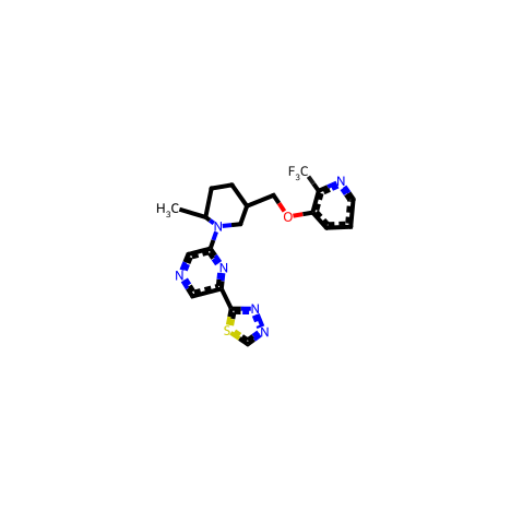 CC1CCC(COc2cccnc2C(F)(F)F)CN1c1cncc(-c2nncs2)n1